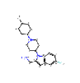 CC(C)[C@H]1CC[C@@H](N2CCC(n3c(CN)cc4cc(F)ccc43)CC2)CC1